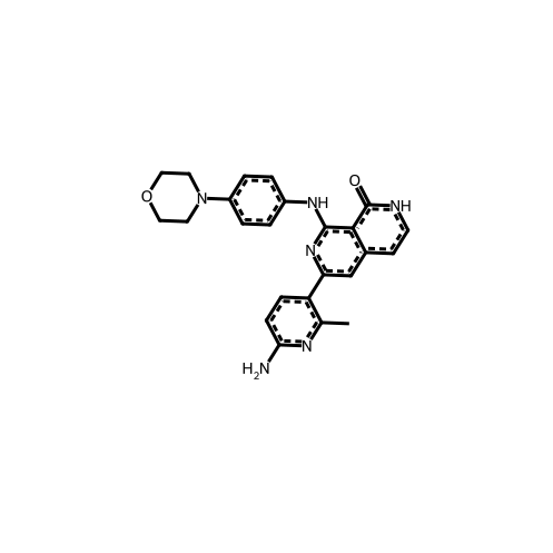 Cc1nc(N)ccc1-c1cc2cc[nH]c(=O)c2c(Nc2ccc(N3CCOCC3)cc2)n1